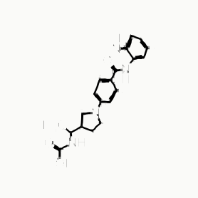 CC(NC(=O)O)C1CCN(c2ccc(C(=O)Nc3ccccc3N)cc2)C1